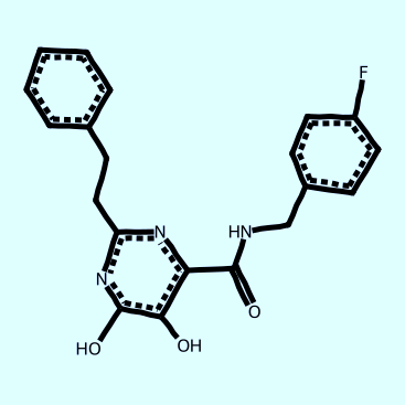 O=C(NCc1ccc(F)cc1)c1nc(CCc2ccccc2)nc(O)c1O